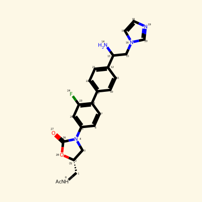 CC(=O)NC[C@H]1CN(c2ccc(-c3ccc(C(N)Cn4ccnc4)cc3)c(F)c2)C(=O)O1